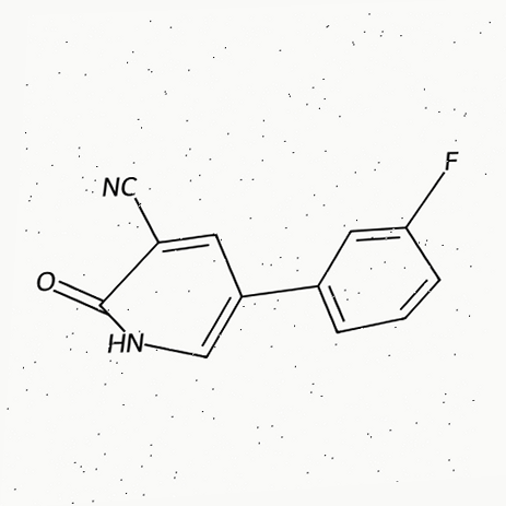 N#Cc1cc(-c2cccc(F)c2)c[nH]c1=O